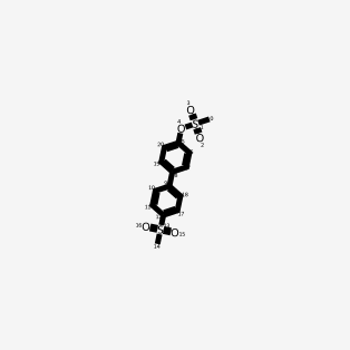 CS(=O)(=O)Oc1ccc(-c2ccc(S(C)(=O)=O)cc2)cc1